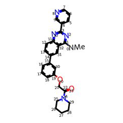 CNc1nc(-c2cccnc2)nc2ccc(-c3cccc(OCC(=O)N4CCCCC4)c3)cc12